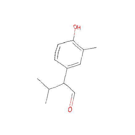 Cc1cc(C(C=O)C(C)C)ccc1O